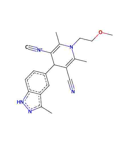 [C-]#[N+]C1=C(C)N(CCOC)C(C)=C(C#N)C1c1ccc2[nH]nc(C)c2c1